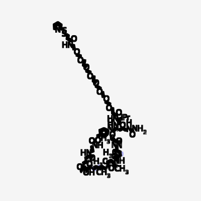 CC(/C=C/[C@H]1O[C@H](CC(=O)NCCNC(=O)OCc2ccc(NC(=O)[C@H](CCCNC(N)=O)NC(=O)[C@@H](NC(=O)CCOCCOCCOCCOCCOCCOCCOCCOCCNC(=O)CCSSc3ccccn3)C(C)C)cc2)C[C@@]2(CO2)[C@@H]1O)=C\C[C@@H]1O[C@H](C)[C@H](NC(=O)/C=C\C(C)c2noc(C)n2)C[C@@H]1C